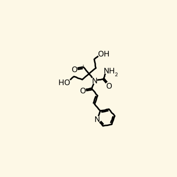 NC(=O)N(C(=O)C=Cc1ccccn1)C([C]=O)(CCO)CCO